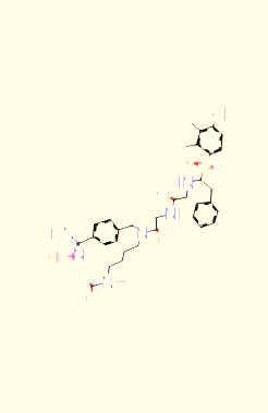 Cc1c(Cl)ccc(S(=O)(=O)C(Cc2ccccc2)NCC(=O)NCC(=O)N(CCCCNC(=O)O)Cc2ccc(C(N)=NO)cc2)c1Cl